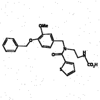 COc1cc(CN(CCNC(=O)O)C(=O)c2cccs2)ccc1OCc1ccccc1